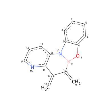 C=C1B2Oc3ccccc3N2c2cccnc2C1=C